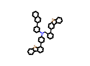 c1cc(-c2ccc3ccccc3c2)cc(N(Cc2ccccc2-c2ccc3sc4ccccc4c3c2)c2ccc(-c3cccc4c3sc3ccccc34)cc2)c1